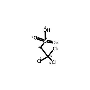 O=S(=O)(O)[CH]C(Cl)(Cl)Cl